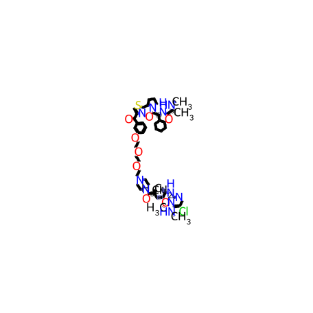 C=C(/C=C(OC)\C(=C/C)Nc1ncc(Cl)c(NC)n1)C(=O)N1CCN(CCOCCOCCOc2cccc(C(=O)c3csc(C4CCCN4C(=O)[C@@H](NC(=O)[C@H](C)NC)C4CCCCC4)n3)c2)CC1